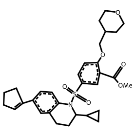 COC(=O)c1cc(S(=O)(=O)N2c3ccc(C4=CCCC4)cc3CCC2C2CC2)ccc1OCC1CCOCC1